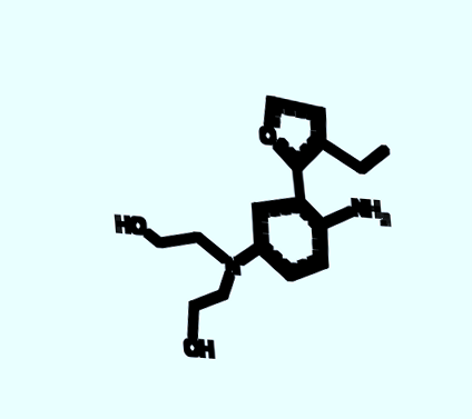 CCc1ccoc1-c1cc(N(CCO)CCO)ccc1N